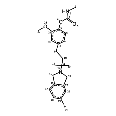 CNC(=O)Oc1ccc(CCC(C)(C)N2Cc3ccc(F)cc3C2)cc1OC